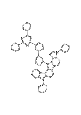 c1ccc(-c2nc(-c3ccccc3)nc(-c3cccc(-c4cccc(-n5c6c(ccc7c6ccn7-c6ccccc6)c6ccc7c(c8ccccc8n7-c7ccccc7)c65)c4)c3)n2)cc1